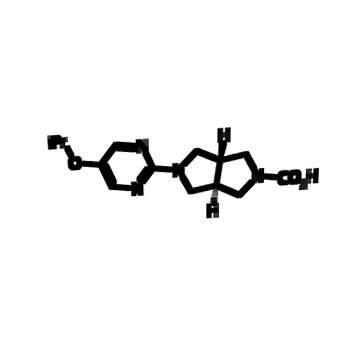 CC(C)Oc1cnc(N2C[C@@H]3CN(C(=O)O)C[C@H]3C2)nc1